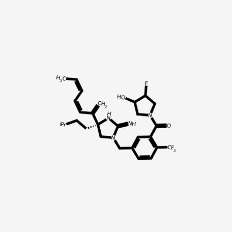 C=C(/C=C\C=C/C)[C@]1(CCC(C)C)CN(Cc2ccc(C(F)(F)F)c(C(=O)N3CC(O)C(F)C3)c2)C(=N)N1